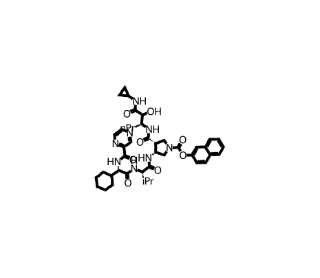 CCC[C@H](NC(=O)[C@@H]1CN(C(=O)Oc2ccc3ccccc3c2)C[C@@H]1NC(=O)[C@@H](NC(=O)[C@@H](NC(=O)c1cnccn1)C1CCCCC1)C(C)C)C(O)C(=O)NC1CC1